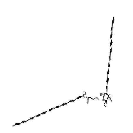 CC#CC#CC#CC#CC#CC#CC#CC#CC#CC#CC(=O)NCCCC[C@H](NC(=O)C#CC#CC#CC#CC#CC#CC#CC#CC#CC#CC)C(=O)OC